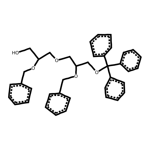 OCC(COCC(COC(c1ccccc1)(c1ccccc1)c1ccccc1)OCc1ccccc1)OCc1ccccc1